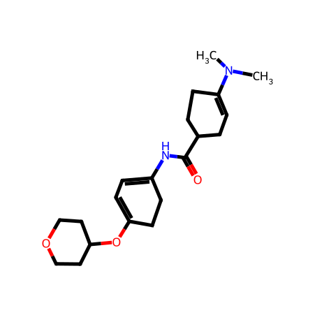 CN(C)C1=CCC(C(=O)NC2=CC=C(OC3CCOCC3)CC2)CC1